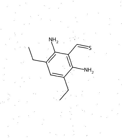 CCc1cc(CC)c(N)c(C=S)c1N